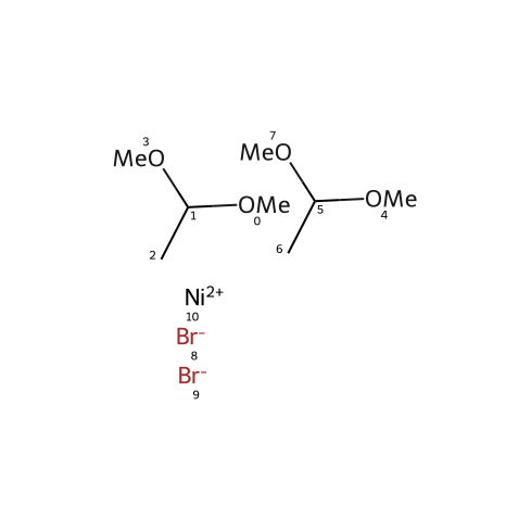 COC(C)OC.COC(C)OC.[Br-].[Br-].[Ni+2]